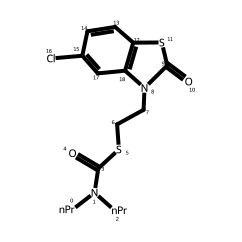 CCCN(CCC)C(=O)SCCn1c(=O)sc2ccc(Cl)cc21